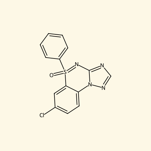 O=S1(c2ccccc2)=Nc2ncnn2-c2ccc(Cl)cc21